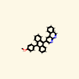 COc1ccc(-c2c3ccccc3c(-c3cnc4ncc5ccccc5c4c3)c3ccccc23)cc1